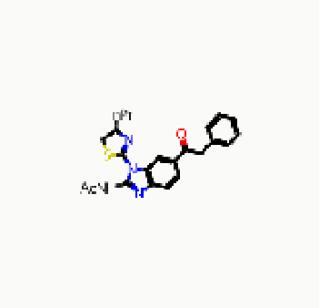 CCCC1CSC(n2c(NC(C)=O)nc3ccc(C(=O)Cc4ccccc4)cc32)=N1